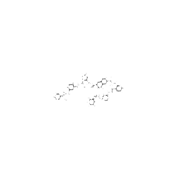 O=C(NCc1cccc(CNC(=O)c2ccccc2COC(=O)c2ccc3cc(C(=O)OCc4ccccc4C(=O)NCc4cccc(CNC(=O)c5ccccc5)c4)ccc3c2)c1)c1ccccc1